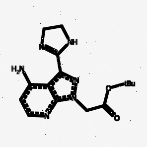 CC(C)(C)OC(=O)Cn1nc(C2=NCCN2)c2c(N)ccnc21